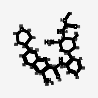 COC(=O)N[C@@H]1[C@H](N)CN(c2ccncc2NC(=O)c2nc3cc(C4CCOCC4)ccc3cc2N)C[C@@H]1C